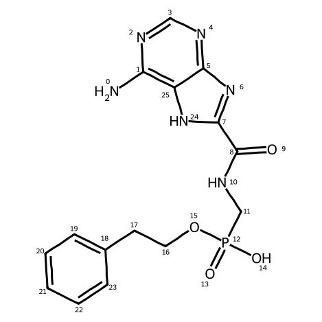 Nc1ncnc2nc(C(=O)NCP(=O)(O)OCCc3ccccc3)[nH]c12